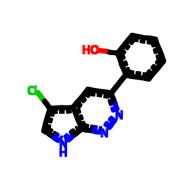 Oc1ccccc1-c1cc2c(Cl)c[nH]c2nn1